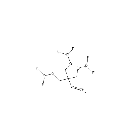 C=CC(COP(F)F)(COP(F)F)COP(F)F